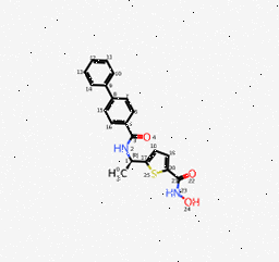 C[C@@H](NC(=O)c1ccc(-c2ccccc2)cc1)c1ccc(C(=O)NO)s1